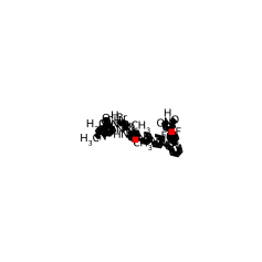 COc1cc(N2CCC(N3CCN(CCC4CCCCN4c4cc(F)c(C5CC(=O)NC(=O)C5)c(F)c4)CC3)CC2)c(C)cc1Nc1ncc(Br)c(Nc2ccc3nc(C)ccc3c2P(C)(C)=O)n1